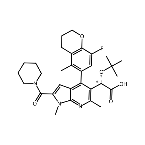 Cc1nc2c(cc(C(=O)N3CCCCC3)n2C)c(-c2cc(F)c3c(c2C)CCCO3)c1[C@H](OC(C)(C)C)C(=O)O